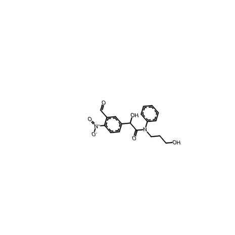 O=Cc1cc(C(O)C(=O)N(CCCO)c2ccccc2)ccc1[N+](=O)[O-]